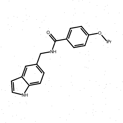 CC(C)Oc1ccc(C(=O)NCc2ccc3[nH]ccc3c2)cc1